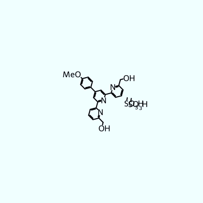 COc1ccc(-c2cc(-c3cccc(CO)n3)nc(-c3cccc(CO)n3)c2)cc1.CS(=O)(=O)O.CS(=O)(=O)O